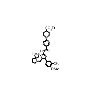 CCOC(=O)C1CCN(c2cnc(C(=O)Nc3nc(-c4ccc(OC)c(C(F)(F)F)c4)c(CN4CCCC4(C)COC)s3)cn2)CC1